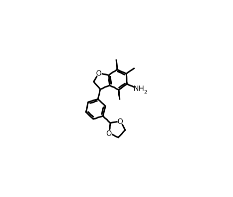 Cc1c(C)c2c(c(C)c1N)C(c1cccc(C3OCCO3)c1)CO2